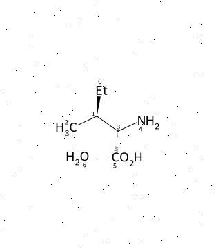 CC[C@H](C)[C@H](N)C(=O)O.O